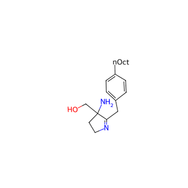 CCCCCCCCc1ccc(CC2=NCCC2(N)CO)cc1